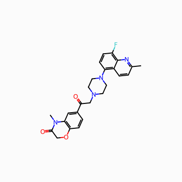 Cc1ccc2c(N3CCN(CC(=O)c4ccc5c(c4)N(C)C(=O)CO5)CC3)ccc(F)c2n1